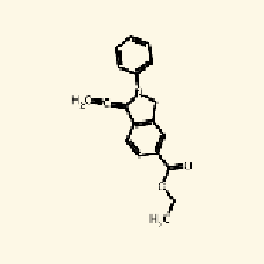 C=C=C1c2ccc(C(=O)OCC)cc2CN1c1ccccc1